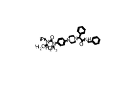 C=C(C)N(C(=O)N(N)c1ccc(N2CCN(C(C(=O)NCc3ccccc3)c3ccccc3)CC2)cc1)C(C)C